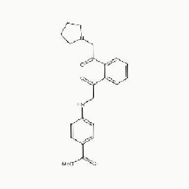 COC(=O)c1ccc(NCC(=O)c2ccccc2C(=O)CN2CCCC2)cc1